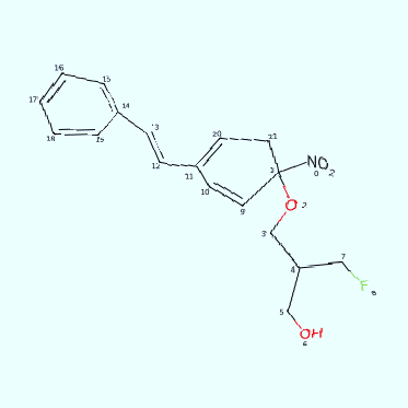 O=[N+]([O-])C1(OCC(CO)CF)C=CC(C=Cc2ccccc2)=CC1